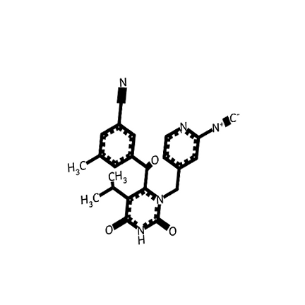 [C-]#[N+]c1cc(Cn2c(C(=O)c3cc(C)cc(C#N)c3)c(C(C)C)c(=O)[nH]c2=O)ccn1